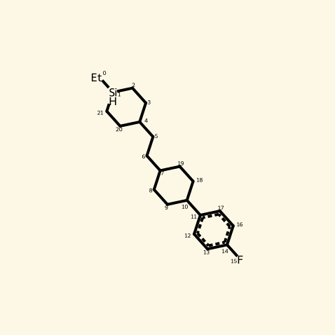 CC[SiH]1CCC(CCC2CCC(c3ccc(F)cc3)CC2)CC1